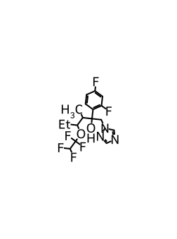 CCC(OC(F)(F)C(F)F)C(C)C(O)(Cn1cncn1)c1ccc(F)cc1F